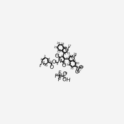 CN1C=CC=C(C(=O)OCN2C(=O)C(c3cn(C)c4ccccc34)=C(c3cn(C)c4cc([N+](=O)[O-])ccc34)C2=O)C1.O=C(O)C(F)(F)F